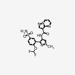 Cn1cc(NC(=O)c2cnn3cccnc23)c(-c2cc(S(N)(=O)=O)ccc2OC(F)F)n1